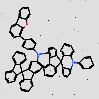 c1ccc(N2c3ccccc3C3(c4ccccc4-c4c(N(c5ccc(-c6cccc7c6oc6ccccc67)cc5)c5ccc6c(c5)C5(c7ccccc7-c7ccccc75)c5ccccc5-6)cccc43)c3ccccc32)cc1